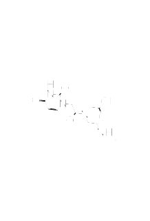 NCCN(CC(=O)O)C(=O)Cn1ccc(=O)[nH]c1=O